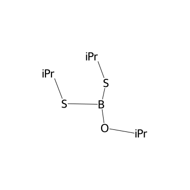 CC(C)OB(SC(C)C)SC(C)C